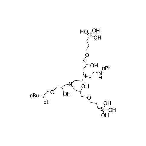 CCCCC(CC)COCC(O)CN(CCN(CCNCCC)CC(O)COCCC[Si](O)(O)O)CC(O)COCCC[Si](O)(O)O